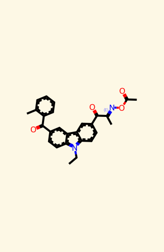 CCn1c2ccc(C(=O)/C(C)=N/OC(C)=O)cc2c2cc(C(=O)c3ccccc3C)ccc21